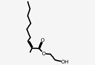 CCCCCCC=C(C)C(=O)OCCO